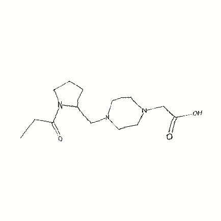 CCC(=O)N1CCCC1CN1CCN(CC(=O)O)CC1